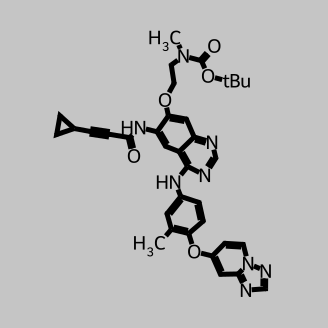 Cc1cc(Nc2ncnc3cc(OCCN(C)C(=O)OC(C)(C)C)c(NC(=O)C#CC4CC4)cc23)ccc1Oc1ccn2ncnc2c1